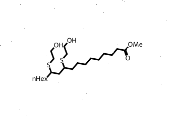 CCCCCCC(CC(CCCCCCCCC(=O)OC)SCCO)SCCO